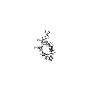 C=CC(=O)N1CCC(C(=O)N(C)[C@H](C(=O)N[C@H]2Cc3cc(O)cc(c3)-c3ccc4c(c3)c(c(-c3cncnc3)n4CC)CC3(C)CCCn4c3cnc4[C@@H]3CCCN(N3)C2=O)C(C)C)C1